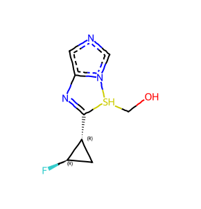 OC[SH]1C([C@@H]2C[C@H]2F)=Nc2cncn21